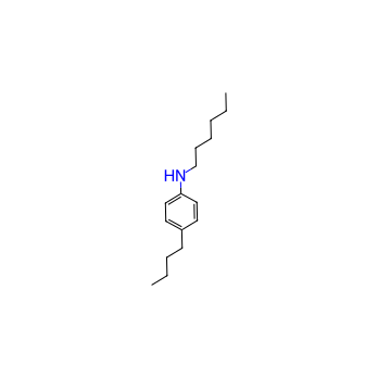 CCCCCCNc1ccc(CCCC)cc1